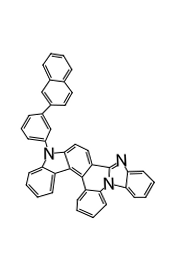 c1cc(-c2ccc3ccccc3c2)cc(-n2c3ccccc3c3c4c5ccccc5n5c6ccccc6nc5c4ccc32)c1